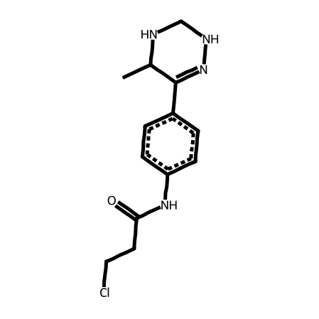 CC1NCNN=C1c1ccc(NC(=O)CCCl)cc1